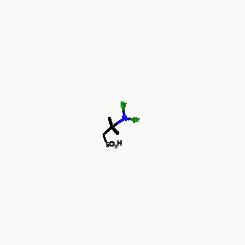 CC(C)(CS(=O)(=O)O)N(Br)Br